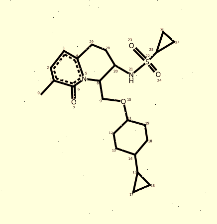 Cc1ccc2n(c1=O)C(COC1CCC(C3CC3)CC1)C(NS(=O)(=O)C1CC1)CC2